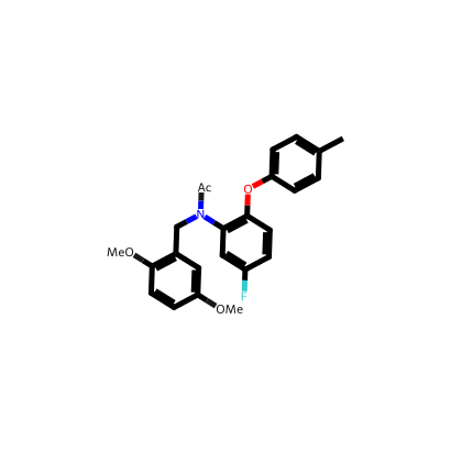 COc1ccc(OC)c(CN(C(C)=O)c2cc(F)ccc2Oc2ccc(C)cc2)c1